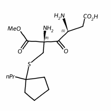 CCCC1(SC[C@](N)(C(=O)OC)C(=O)[C@@H](N)CC(=O)O)CCCC1